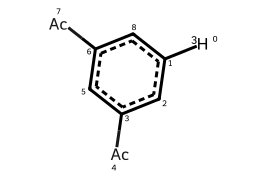 [3H]c1cc(C(C)=O)cc(C(C)=O)c1